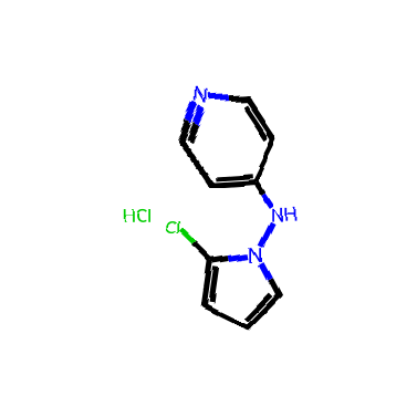 Cl.Clc1cccn1Nc1ccncc1